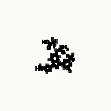 CNC1CCN(c2nn(-c3cc(C)nc(C(C)(F)F)n3)c3cc(CC(N)=O)ncc23)C1.O=C(O)C(F)(F)F